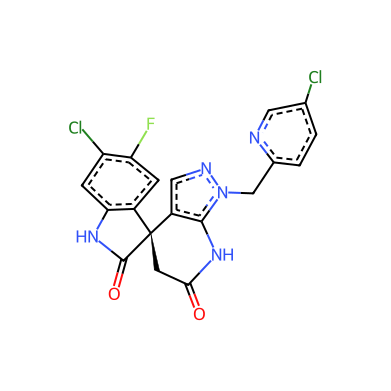 O=C1C[C@]2(C(=O)Nc3cc(Cl)c(F)cc32)c2cnn(Cc3ccc(Cl)cn3)c2N1